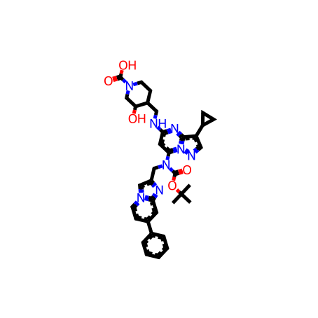 CC(C)(C)OC(=O)N(Cc1cn2ccc(-c3ccccc3)cc2n1)c1cc(NCC2CCN(C(=O)O)CC2O)nc2c(C3CC3)cnn12